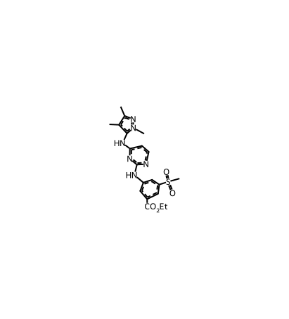 CCOC(=O)c1cc(Nc2nccc(Nc3c(C)c(C)nn3C)n2)cc(S(C)(=O)=O)c1